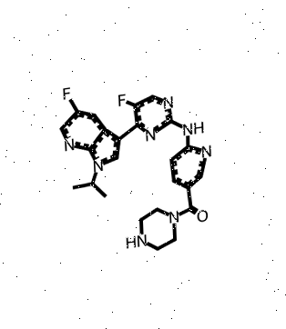 CC(C)n1cc(-c2nc(Nc3ccc(C(=O)N4CCNCC4)cn3)ncc2F)c2cc(F)cnc21